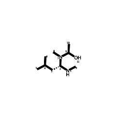 CN[C@H](CC(C)C)N(C)C(C)O